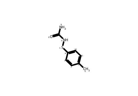 Cc1ccc(SNC(N)=O)cc1